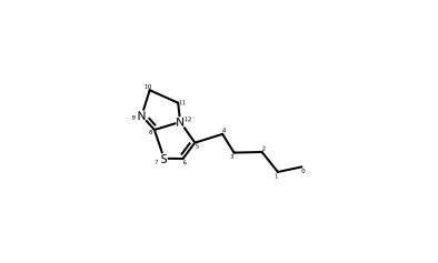 CCCCCC1=CSC2=NCCN12